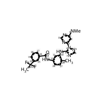 CNc1cc(-n2ncnc2Nc2cc(NC(=O)c3cccc(C(C)(F)F)c3)ccc2C)ncn1